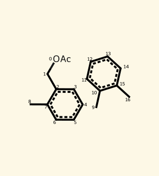 CC(=O)OCc1ccccc1C.Cc1ccccc1C